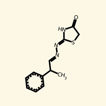 CC(C=NN=C1NC(=O)CS1)c1ccccc1